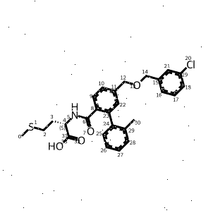 CSCC[C@H](NC(=O)c1ccc(COCc2cccc(Cl)c2)cc1-c1ccccc1C)C(=O)O